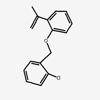 C=C(C)c1ccccc1OCc1ccccc1Cl